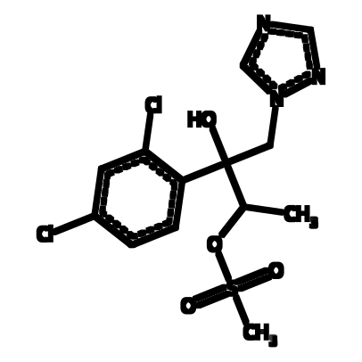 CC(OS(C)(=O)=O)C(O)(Cn1cncn1)c1ccc(Cl)cc1Cl